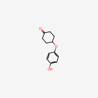 O=C1CCC(Oc2ccc(O)cc2)CC1